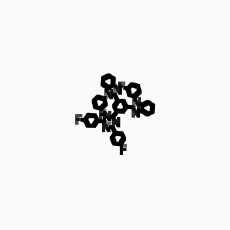 Fc1ccc(-c2nc(-c3ccc(F)cc3)nc(-c3cc(-c4nc5ccccc5n4-c4cccc(F)c4)cc(-c4nc5ccccc5n4-c4cccc(F)c4)c3)n2)cc1